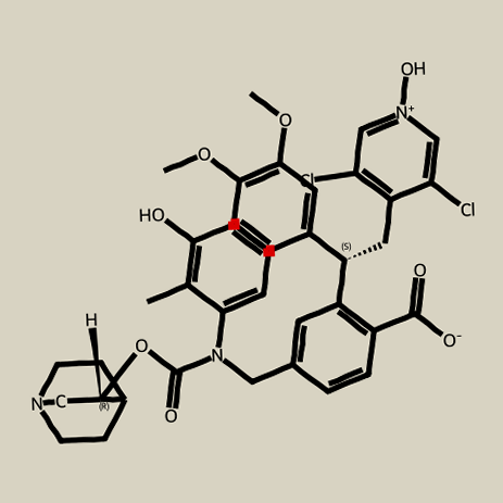 COc1ccc([C@H](Cc2c(Cl)c[n+](O)cc2Cl)c2cc(CN(C(=O)O[C@H]3CN4CCC3CC4)c3cccc(O)c3C)ccc2C(=O)[O-])cc1OC